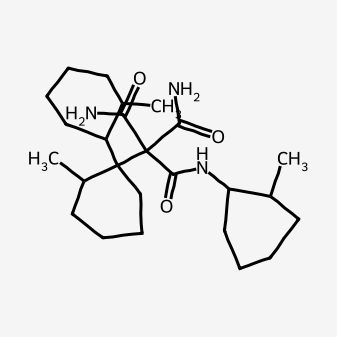 CC1CCCCC1NC(=O)C(C(N)=O)(C(N)=O)C1(C2CCCCC2C)CCCCC1C